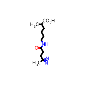 CC(CCCCNC(=O)CCC1(C)N=N1)C(=O)O